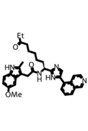 CCC(=O)CCCCC[C@H](NC(=O)Cc1c(C)[nH]c2ccc(OC)cc12)c1ncc(-c2cccc3cnccc23)[nH]1